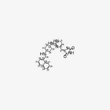 O=C1NC(=O)/C(=C/C2=CCNC(N[C@H]3CC[C@H](NCc4cccc5ccccc45)CC3)=N2)S1